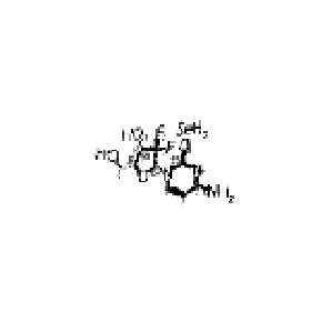 Nc1ccn([C@@H]2O[C@H](CO)[C@@H](O)C2(F)F)c(=O)n1.[SeH2]